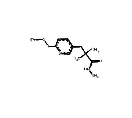 CC(C)SSc1ccc(CC(C)(C)C(=O)NN)cn1